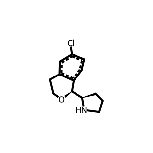 Clc1ccc2c(c1)CCO[C@@H]2[C@H]1CCCN1